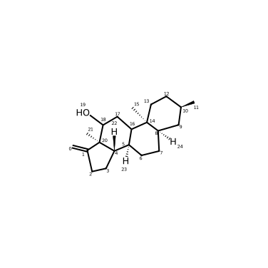 C=C1CC[C@H]2[C@@H]3CC[C@@H]4C[C@H](C)CC[C@]4(C)C3CC(O)[C@]12C